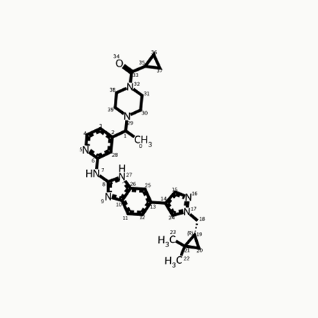 CC(c1ccnc(Nc2nc3ccc(-c4cnn(C[C@@H]5CC5(C)C)c4)cc3[nH]2)c1)N1CCN(C(=O)C2CC2)CC1